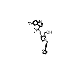 COc1ccc2nccc([C@H](CC[C@@H]3CCN(CC#Cc4cccs4)C[C@@H]3CO)N(C)C)c2c1